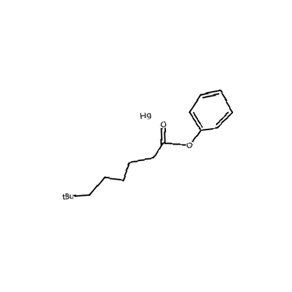 CC(C)(C)CCCCCC(=O)Oc1ccccc1.[Hg]